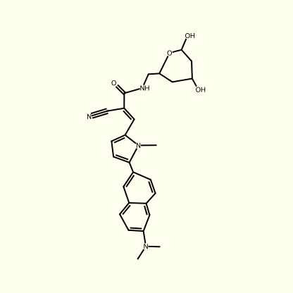 CN(C)c1ccc2cc(-c3ccc(/C=C(\C#N)C(=O)NCC4CC(O)CC(O)O4)n3C)ccc2c1